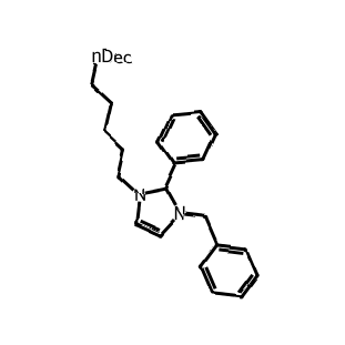 CCCCCCCCCCCCCCCN1C=CN(Cc2ccccc2)C1c1ccccc1